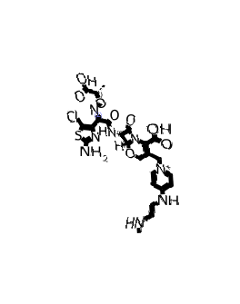 CNCCNc1cc[n+](CC2=C(C(=O)O)N3C(=O)[C@@H](NC(=O)/C(=N\O[C@@H](C)C(=O)O)c4nc(N)sc4Cl)[C@H]3OC2)cc1